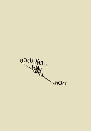 CCCCCCCC/C=C\CCCCCCCCOCC(COCCCCCCCC/C=C\CCCCCCCC)OS(=O)(=O)NCCN(C)C